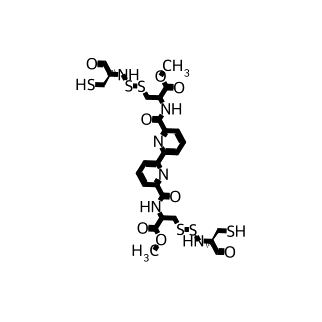 COC(=O)C(CSSN[C@H](C=O)CS)NC(=O)c1cccc(-c2cccc(C(=O)NC(CSSN[C@H](C=O)CS)C(=O)OC)n2)n1